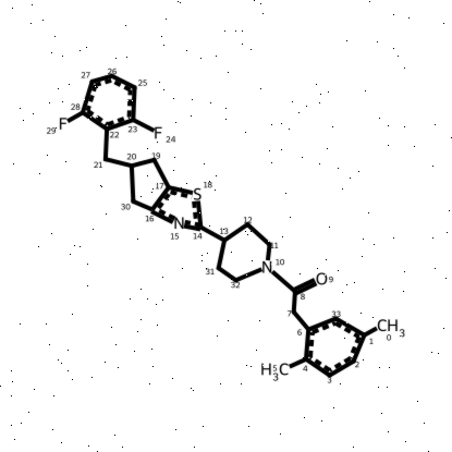 Cc1ccc(C)c(CC(=O)N2CCC(c3nc4c(s3)CC(Cc3c(F)cccc3F)C4)CC2)c1